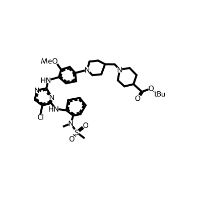 COc1cc(N2CCC(CN3CCC(C(=O)OC(C)(C)C)CC3)CC2)ccc1Nc1ncc(Cl)c(Nc2ccccc2N(C)S(C)(=O)=O)n1